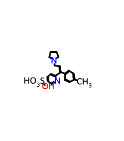 Cc1ccc(C(=CCN2CCCC2)c2ccccn2)cc1.O=S(=O)(O)O